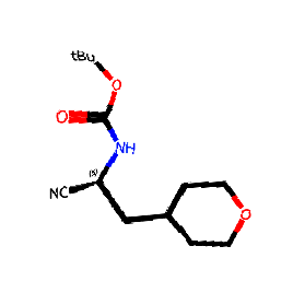 CC(C)(C)OC(=O)N[C@H](C#N)CC1CCOCC1